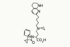 O=C(O)[C@H](CCN(CCCCc1ccc2c(n1)NCCC2)C1CC1)NC(=O)C1(c2ccccc2)CC1